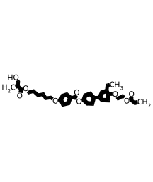 C=CC(=O)OCCOc1ccc(-c2ccc(OC(=O)c3ccc(OCCCCCCOC(=O)C(=C)CO)cc3)cc2)cc1CC